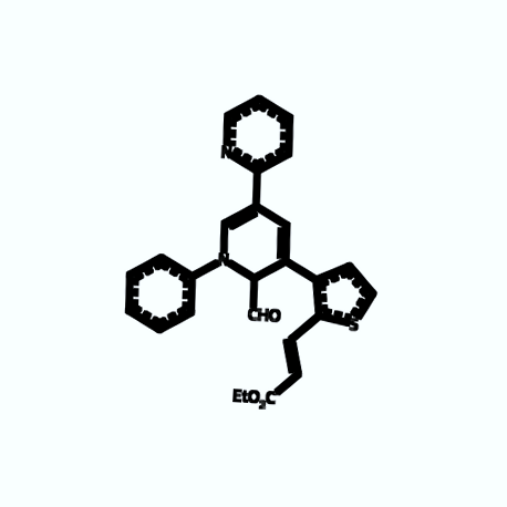 CCOC(=O)C=Cc1sccc1C1=CC(c2ccccn2)=CN(c2ccccc2)C1C=O